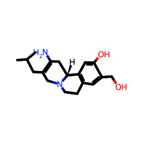 CC(C)CC1=C(N)C[C@@H]2c3cc(O)c(CO)cc3CCN2C1